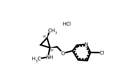 CN[C@]1(COc2ccc(Cl)nc2)C[C@H]1C.Cl